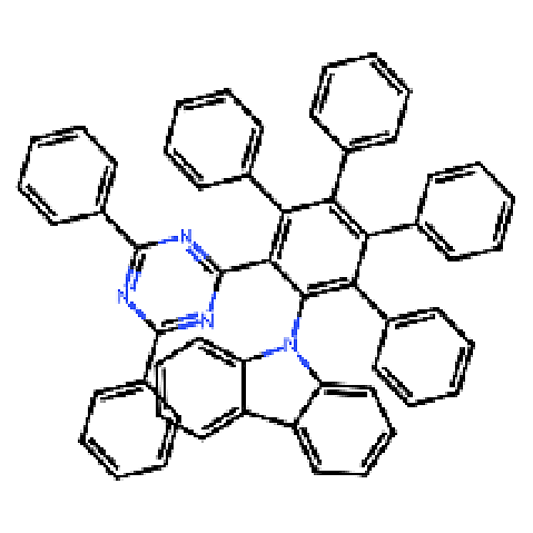 c1ccc(-c2nc(-c3ccccc3)nc(-c3c(-c4ccccc4)c(-c4ccccc4)c(-c4ccccc4)c(-c4ccccc4)c3-n3c4ccccc4c4ccccc43)n2)cc1